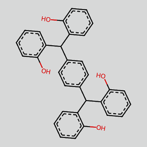 Oc1ccccc1C(c1ccc(C(c2ccccc2O)c2ccccc2O)cc1)c1ccccc1O